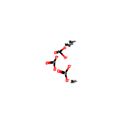 [Ba+2].[Mg+2].[O]=[Ti]([O-])[O-].[O]=[Ti]([O-])[O-].[O]=[Ti]([O-])[O-].[Zn+2]